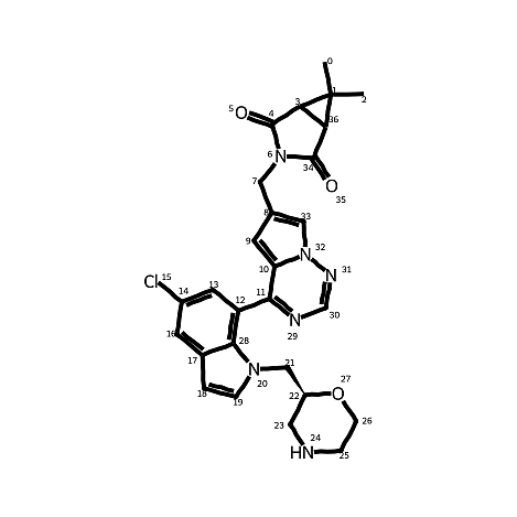 CC1(C)C2C(=O)N(Cc3cc4c(-c5cc(Cl)cc6ccn(C[C@@H]7CNCCO7)c56)ncnn4c3)C(=O)C21